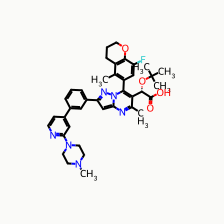 Cc1nc2cc(-c3cccc(-c4ccnc(N5CCN(C)CC5)c4)c3)nn2c(-c2cc(F)c3c(c2C)CCCO3)c1[C@H](OC(C)(C)C)C(=O)O